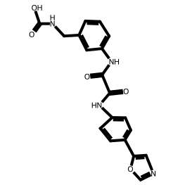 O=C(O)NCc1cccc(NC(=O)C(=O)Nc2ccc(-c3cnco3)cc2)c1